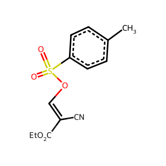 CCOC(=O)C(C#N)=COS(=O)(=O)c1ccc(C)cc1